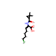 CC1(C)CC1C(=O)NC(=CCCCCBr)C(=O)O